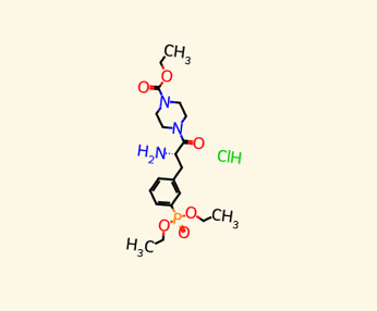 CCOC(=O)N1CCN(C(=O)[C@@H](N)Cc2cccc(P(=O)(OCC)OCC)c2)CC1.Cl